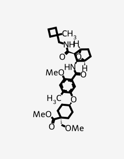 COC[C@]1(C(=O)OC)CC[C@@H](Oc2cc(C(=O)N[C@H]3[C@@H](C(=O)NCC4(C)CCC4)[C@H]4CC[C@@H]3O4)c(OC)cc2C)CC1